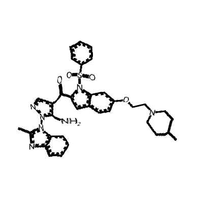 Cc1nc2ccccc2n1-n1ncc(C(=O)c2cc3ccc(OCCN4CCC(C)CC4)cc3n2S(=O)(=O)c2ccccc2)c1N